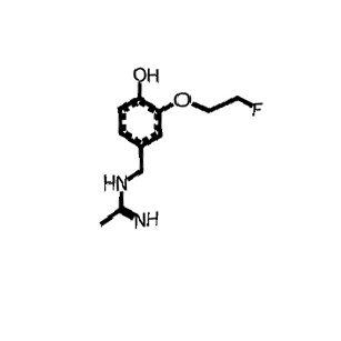 CC(=N)NCc1ccc(O)c(OCCF)c1